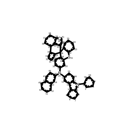 c1ccc(-n2c3ccccc3c3cc(N(c4ccc5c(c4)Sc4ccccc4C54c5ccccc5-c5cccc6cccc4c56)c4ccc5ccccc5c4)ccc32)cc1